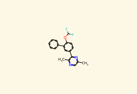 Cc1cnc(C)c(-c2ccc(OC(F)F)c(-c3ccccc3)c2)n1